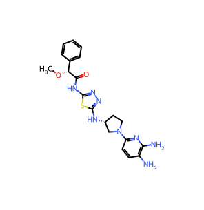 CO[C@@H](C(=O)Nc1nnc(N[C@@H]2CCN(c3ccc(N)c(N)n3)C2)s1)c1ccccc1